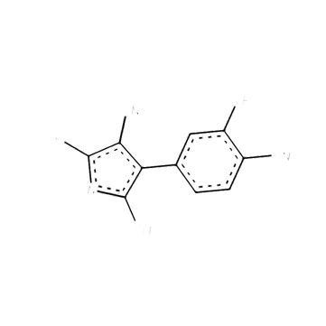 Cc1[nH]c(C)c(-c2ccc(C#N)c(C(F)(F)F)c2)c1C#N